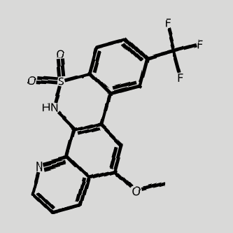 COc1cc2c(c3ncccc13)NS(=O)(=O)c1ccc(C(F)(F)F)cc1-2